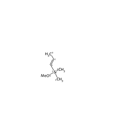 CC=C[Si](C)(C)OC